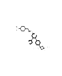 CN(C(=O)O)C1CCC(CC(=O)Nc2cc(-c3ccsc3)c(-c3ccc([C@]4(N)C[C@](C)(O)C4)cc3)cn2)CC1